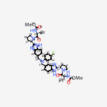 COC(=O)N[C@H](C(=O)N1CCC[C@H]1c1nc2cc(CN(Cc3ccc4[nH]c([C@@H]5CCCN5C(=O)[C@@H](NC(=O)OC)C(C)C)nc4c3)c3ccc(F)cc3)ccc2[nH]1)C(C)C